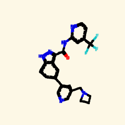 O=C(Nc1cc(C(F)(F)F)ccn1)c1n[nH]c2ccc(-c3cncc(CN4CCC4)c3)cc12